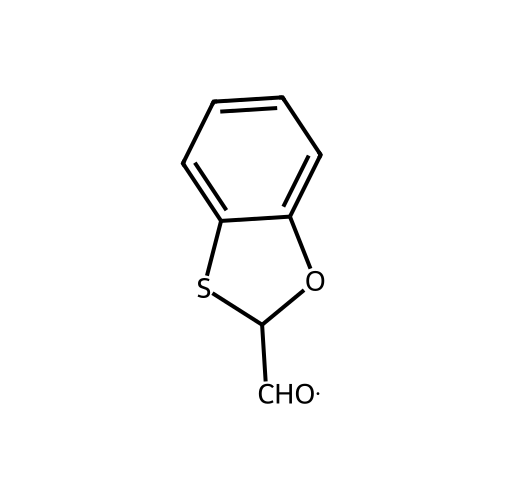 O=[C]C1Oc2ccccc2S1